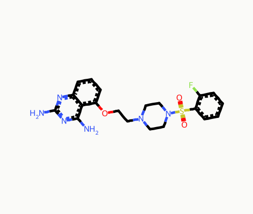 Nc1nc(N)c2c(OCCN3CCN(S(=O)(=O)c4ccccc4F)CC3)cccc2n1